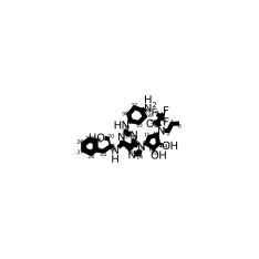 CCCN(C(=O)C(F)(F)F)[C@H]1C[C@@H](n2cnc3c(N[C@H](CO)Cc4ccccc4)nc(NC4CCC(N)CC4)nc32)[C@H](O)[C@@H]1O